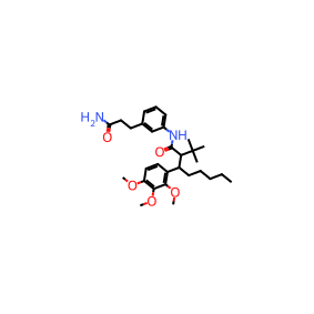 CCCCCC(c1ccc(OC)c(OC)c1OC)C(C(=O)Nc1cccc(CCC(N)=O)c1)C(C)(C)C